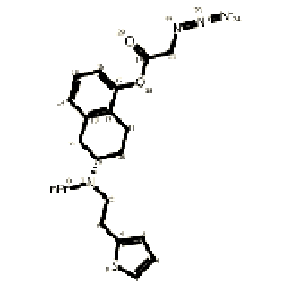 CCCN(CCc1cccs1)[C@H]1CCc2c(cccc2OC(=O)CN=[N+]=[N-])C1